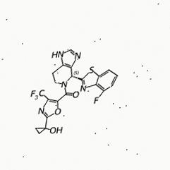 O=C(c1oc(C2(O)CC2)nc1C(F)(F)F)N1CCc2[nH]cnc2[C@H]1c1nc2c(F)cccc2s1